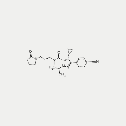 CC(C)n1nc(-c2ccc(C#N)cc2)c(C2CC2)c1C(=O)NCCCN1CCCC1=O